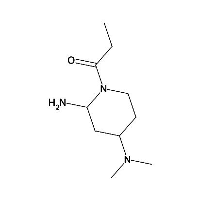 CCC(=O)N1CCC(N(C)C)CC1N